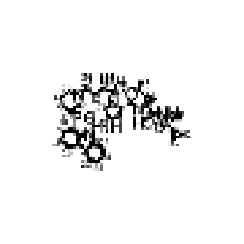 C=CC1CC1(NC(=O)[C@@H]1C[C@@H](NC(=O)n2c3ccccc3c3ccccc32)CN1C(=O)[C@@H](CC(=O)N1CCCC(F)(F)C1)C(C)(C)C)C(=O)NS(=O)(=O)C1CC1